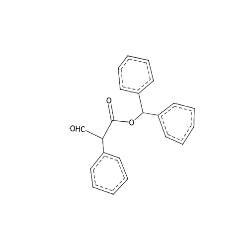 O=[C]C(C(=O)OC(c1ccccc1)c1ccccc1)c1ccccc1